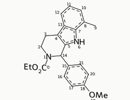 CCOC(=O)N1CCc2c([nH]c3c(C)cccc23)C1c1ccc(OC)cc1